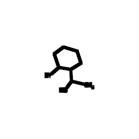 CC(C)C1CCCCC1C(C)O